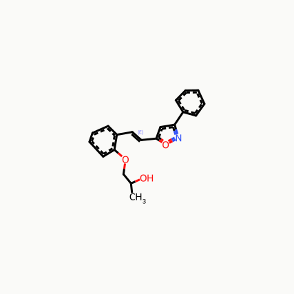 CC(O)COc1ccccc1/C=C/c1cc(-c2ccccc2)no1